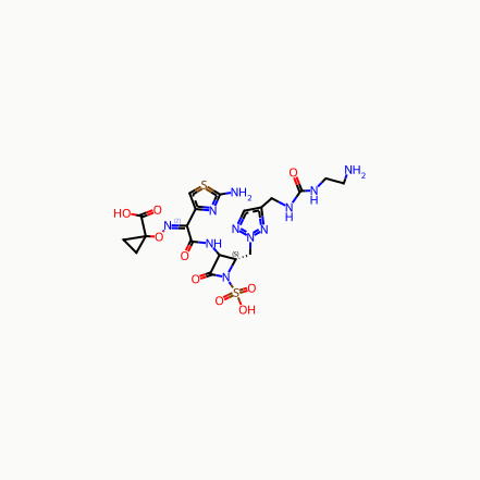 NCCNC(=O)NCc1cnn(C[C@H]2C(NC(=O)/C(=N\OC3(C(=O)O)CC3)c3csc(N)n3)C(=O)N2S(=O)(=O)O)n1